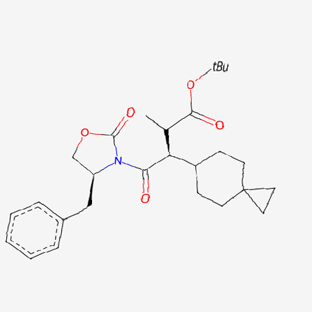 CC(C(=O)OC(C)(C)C)[C@H](C(=O)N1C(=O)OC[C@@H]1Cc1ccccc1)C1CCC2(CC1)CC2